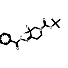 CC(C)(C)OC(=O)N1CC/C(=N/NC(=O)c2ccccc2)C(F)(F)C1